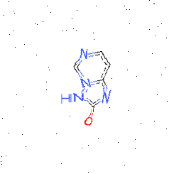 O=c1nc2ccncn2[nH]1